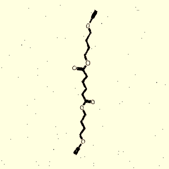 C#COCCCCOC(=O)CCCCC(=O)OCCCCOC#C